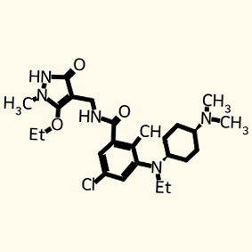 CCOc1c(CNC(=O)c2cc(Cl)cc(N(CC)[C@H]3CC[C@H](N(C)C)CC3)c2C)c(=O)[nH]n1C